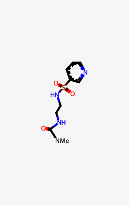 CNC(=O)NCCNS(=O)(=O)c1cccnc1